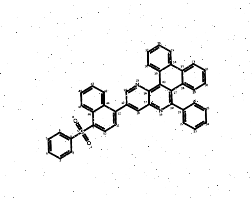 O=S(=O)(c1ccccc1)c1ccc(-c2cnc3c(c2)nc(-c2ccccc2)c2c4ccccc4c4ccccc4c32)c2ccccc12